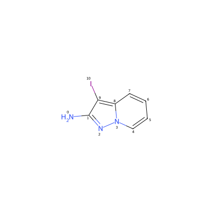 Nc1nn2ccccc2c1I